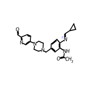 CC(=O)Nc1cc(CN2CCN(c3ccc(C=O)nc3)CC2)ccc1/N=C/C1CC1